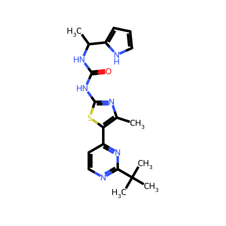 Cc1nc(NC(=O)NC(C)c2ccc[nH]2)sc1-c1ccnc(C(C)(C)C)n1